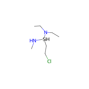 CCN(CC)[SiH](CCCl)NC